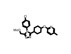 COCc1nnc(C2CCC(Oc3ccc(C)cn3)CC2)n1-c1ccc(Cl)cc1